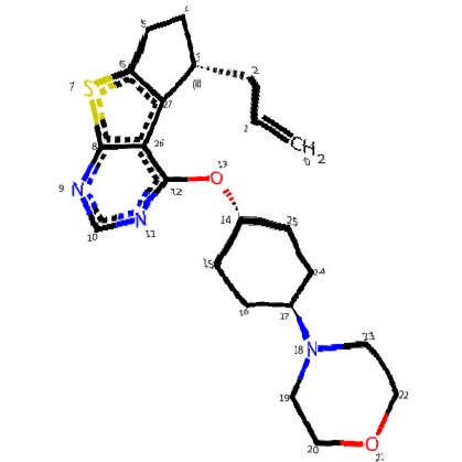 C=CC[C@H]1CCc2sc3ncnc(O[C@H]4CC[C@H](N5CCOCC5)CC4)c3c21